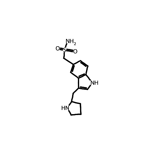 NS(=O)(=O)Cc1ccc2[nH]cc(CC3CCCN3)c2c1